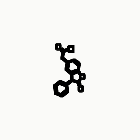 O=C(Cl)Cc1ccc2c(c1)C(c1ccccc1)C(=O)O2